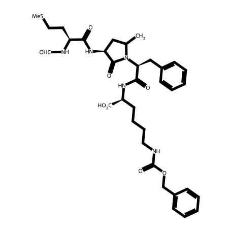 CSCC[C@H](NC=O)C(=O)N[C@H]1CC(C)N([C@@H](Cc2ccccc2)C(=O)N[C@@H](CCCCNC(=O)OCc2ccccc2)C(=O)O)C1=O